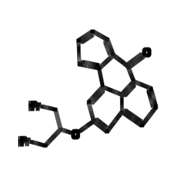 CC(C)CC(CC(C)C)Oc1cc2c3c(cccc3c1)C(=O)c1ccccc1-2